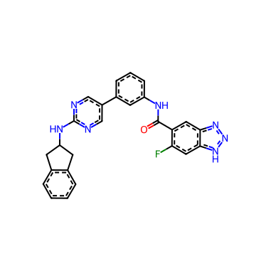 O=C(Nc1cccc(-c2cnc(NC3Cc4ccccc4C3)nc2)c1)c1cc2nn[nH]c2cc1F